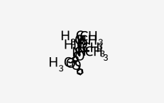 COc1cc(CN(CCNC(=O)OC(C)(C)C)C(=O)NCC(C)C)ccc1OCc1ccccc1